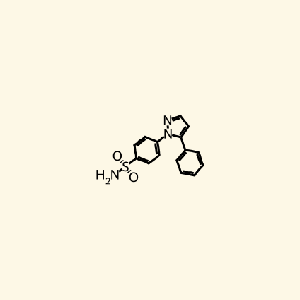 NS(=O)(=O)c1ccc(-n2nccc2-c2ccccc2)cc1